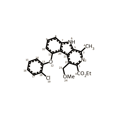 CCOC(=O)c1nc(C)c2[nH]c3cccc(Oc4ccccc4Cl)c3c2c1COC